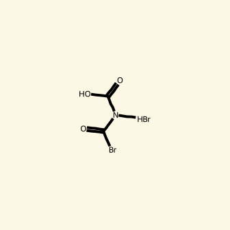 Br.CN(C(=O)O)C(=O)Br